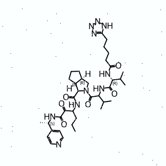 CCCC(NC(=O)C1[C@H]2CCC[C@H]2CN1C(=O)C(NC(=O)[C@H](NC(=O)CCCCc1nnn[nH]1)C(C)C)C(C)C)C(=O)C(=O)N[C@@H](C)c1ccncc1